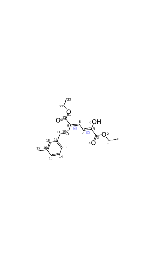 CCOC(=O)/C(O)=C/C=C(\SCc1cccc(C)c1)C(=O)OCC